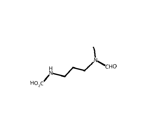 CN(C=O)CCCNC(=O)O